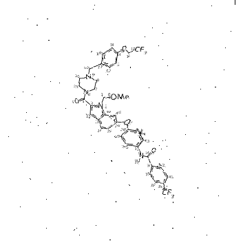 COCn1c(C(=O)N2CCN(Cc3ccc(OCC(F)(F)F)cc3)CC2)cc2ccc(Oc3ccc(N(C)C(=O)c4ccc(C(F)(F)F)cc4)cn3)cc21